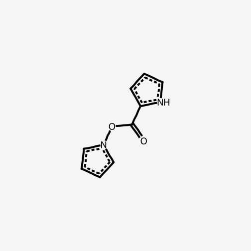 O=C(On1cccc1)c1ccc[nH]1